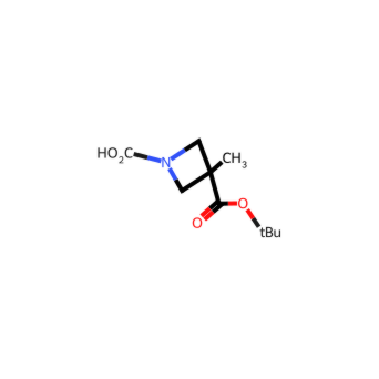 CC(C)(C)OC(=O)C1(C)CN(C(=O)O)C1